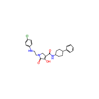 O=C(NC1CCC(c2ccccc2)CC1)C1=C(O)C(=O)N(CCNc2ccc(Cl)cc2)C1